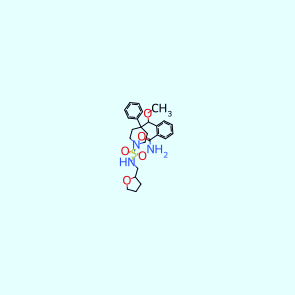 COC(c1ccccc1C(N)=O)C1(c2ccccc2)CCN(S(=O)(=O)NCC2CCCO2)CC1